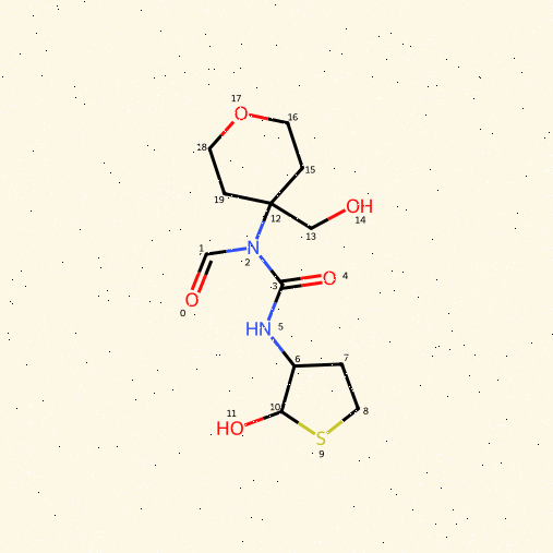 O=[C]N(C(=O)NC1CCSC1O)C1(CO)CCOCC1